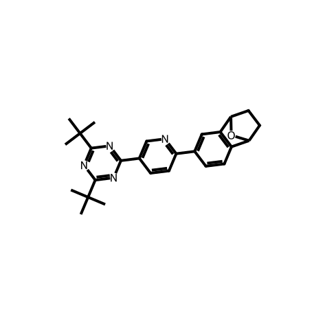 CC(C)(C)c1nc(-c2ccc(-c3ccc4c(c3)C3CCC4O3)nc2)nc(C(C)(C)C)n1